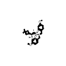 COc1ccc(CN(Cc2ccc(OC)cc2)S(=O)(=O)[C@@H](C)[C@H](O)C2CC(C)(C)C2)cc1